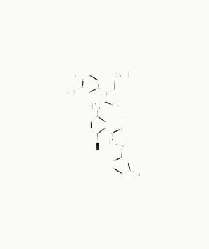 C#Cc1ccc(NC(=O)C(CCN)c2ccc(Cl)c(Cl)c2)cc1C(NC(=O)c1cccc(Br)c1)=C(C)C